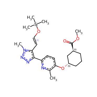 COC(=O)[C@H]1CCC[C@H](Oc2ccc(-c3nnn(C)c3/C=C/O[Si](C)(C)C)nc2C)C1